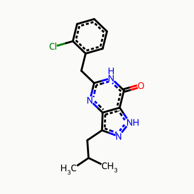 CC(C)Cc1n[nH]c2c(=O)[nH]c(Cc3ccccc3Cl)nc12